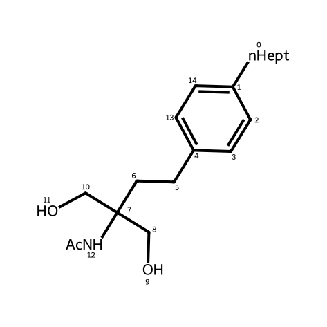 CCCCCCCc1ccc(CCC(CO)(CO)NC(C)=O)cc1